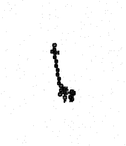 CC(C)c1c(C(=O)Nc2ccc(OCCOCCOCCOCCOCCOCCOCCNC(=O)OCc3ccccc3)cc2)c(-c2ccccc2)c(-c2ccc(F)cc2)n1CC[C@@H]1C[C@H](CC(=O)OC(C)(C)C)OC(C)(C)O1